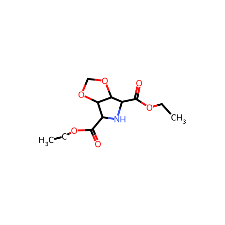 CCOC(=O)C1NC(C(=O)OCC)C2OCOC12